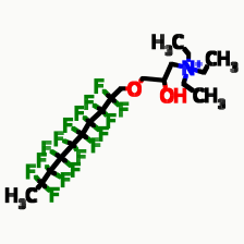 CC[N+](CC)(CC)CC(O)COCC(F)(F)C(F)(F)C(F)(F)C(F)(F)C(F)(F)C(F)(F)C(F)(F)C(C)(F)F